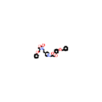 O=C1OCC(COc2ccccc2)N1CCC1CCN(CC2COc3cc(OCc4ccccc4)ccc3O2)CC1